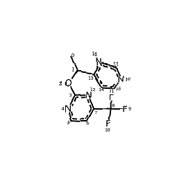 CC(Oc1nccc(C(F)(F)F)n1)c1ccncn1